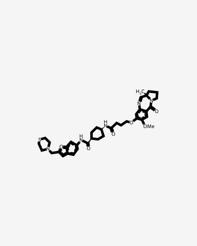 COc1cc2c(cc1OCCCC(=O)N[C@H]1CC[C@H](C(=O)Nc3ccc4cc(CN5CCSCC5)oc4c3)CC1)N=C[C@]1(C)CCCN1C2=O